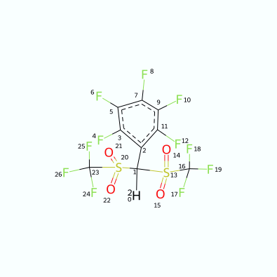 [2H]C(c1c(F)c(F)c(F)c(F)c1F)(S(=O)(=O)C(F)(F)F)S(=O)(=O)C(F)(F)F